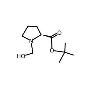 CC(C)(C)OC(=O)[C@@H]1CCCN1CO